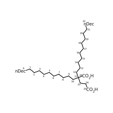 CCCCCCCCCCCCCCCCCCCCC(CCCCCCCCCCCCCCCCCCCC)(CCC(=O)O)C(=O)O